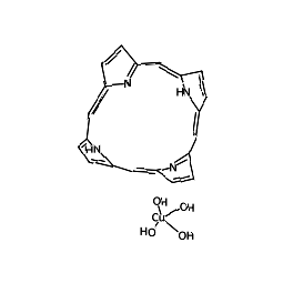 C1=Cc2cc3ccc(cc4nc(cc5ccc(cc1n2)[nH]5)C=C4)[nH]3.[OH][Cu]([OH])([OH])[OH]